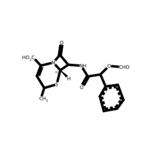 CC1C=C(C(=O)O)N2C(=O)C(NC(=O)C(OC=O)c3ccccc3)[C@@H]2S1